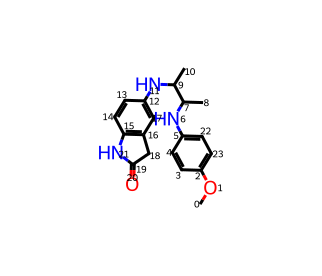 COc1ccc(NC(C)C(C)Nc2ccc3c(c2)CC(=O)N3)cc1